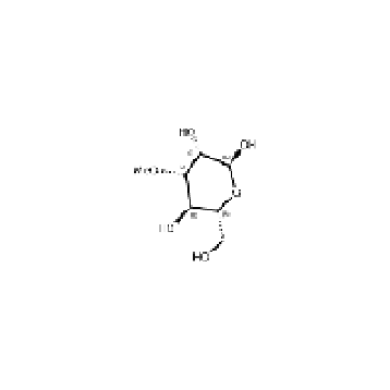 CO[C@@H]1[C@H](O)[C@@H](O)O[C@H](CO)[C@H]1O